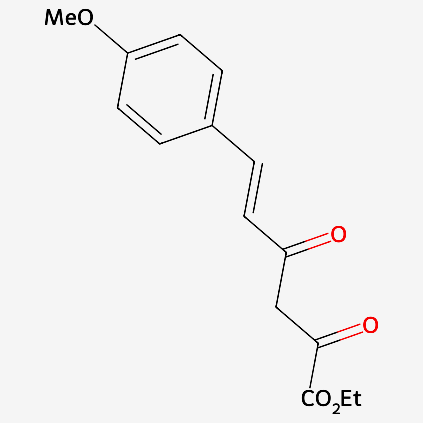 CCOC(=O)C(=O)CC(=O)C=Cc1ccc(OC)cc1